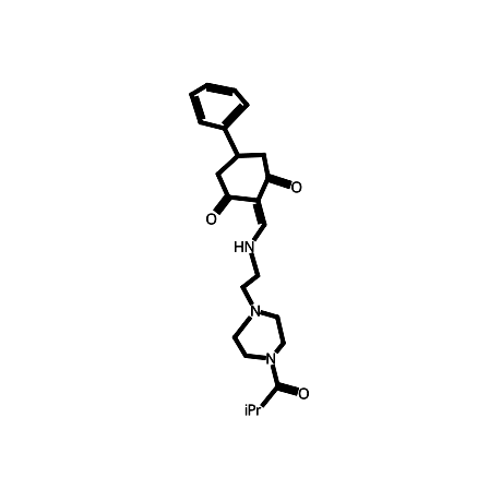 CC(C)C(=O)N1CCN(CCNC=C2C(=O)CC(c3ccccc3)CC2=O)CC1